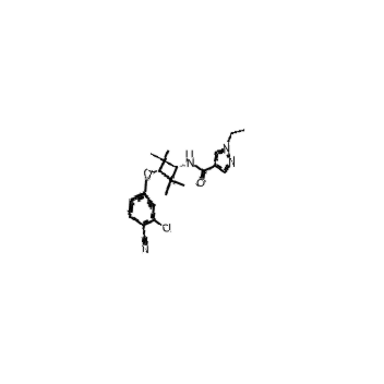 CCn1cc(C(=O)N[C@H]2C(C)(C)[C@H](Oc3ccc(C#N)c(Cl)c3)C2(C)C)cn1